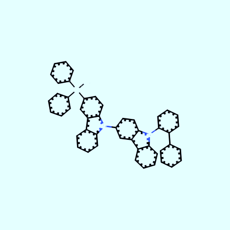 CC(C)(C)[Si](c1ccccc1)(c1ccccc1)c1ccc2c(c1)c1ccccc1n2-c1ccc2c(c1)c1ccccc1n2-c1ccccc1-c1ccccc1